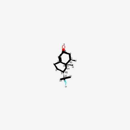 C[C@@H]1CC(=O)C=C2CC[C@@H](C(C)(C)F)C[C@]21C